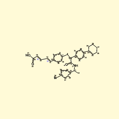 CC(NC(=O)N(Cc1ccc(/C=C/C=C/C(=O)O)cc1)c1ccc(C2=CCCCC2)cc1)c1ccc(Br)cc1